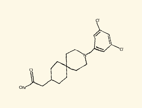 O=NC(=O)CC1CCC2(CC1)CCN(c1cc(Cl)cc(Cl)c1)CC2